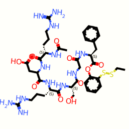 CCSSc1ccccc1OC(=O)[C@H](Cc1ccccc1)NC(=O)CNC(=O)[C@H](CO)NC(=O)[C@H](CCCNC(=N)N)NC(=O)C(CC(=O)O)NC(=O)[C@H](CCCNC(=N)N)NC(C)=O